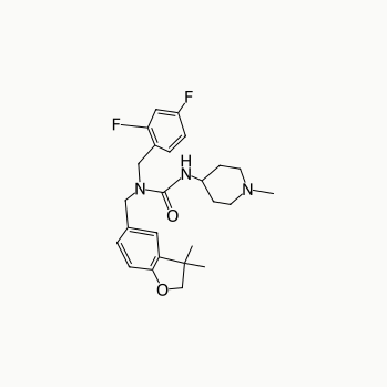 CN1CCC(NC(=O)N(Cc2ccc3c(c2)C(C)(C)CO3)Cc2ccc(F)cc2F)CC1